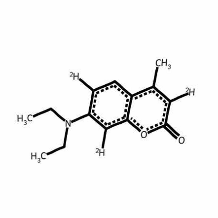 [2H]c1cc2c(C)c([2H])c(=O)oc2c([2H])c1N(CC)CC